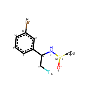 CC(C)(C)[S@@+]([O-])NC(CF)c1cccc(Br)c1